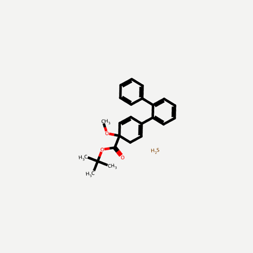 COC1(C(=O)OC(C)(C)C)C=CC(c2ccccc2-c2ccccc2)=CC1.S